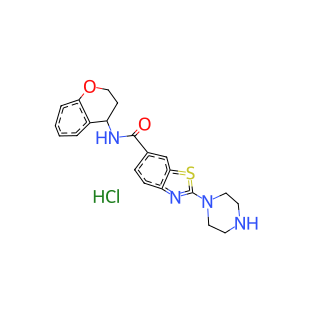 Cl.O=C(NC1CCOc2ccccc21)c1ccc2nc(N3CCNCC3)sc2c1